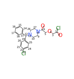 O=C(Cl)COCC(=O)N1CCN(C(c2ccccc2)c2ccc(Cl)cc2)CC1